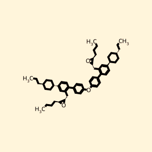 CCCC[C@@H]1O[C@H]1Cc1cc([C@H]2CC[C@H](CCC)CC2)ccc1-c1ccc(Oc2ccc(-c3ccc([C@H]4CC[C@H](CCC)CC4)cc3C[C@@H]3O[C@H]3CCCC)cc2)cc1